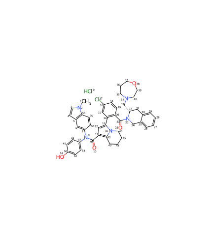 Cl.Cn1ccc2cc(N(C(=O)c3cc(-c4cc(Cl)ccc4C(=O)N4Cc5ccccc5C[C@H]4CN4CCCOCC4)n4c3CCCC4)c3ccc(O)cc3)ccc21